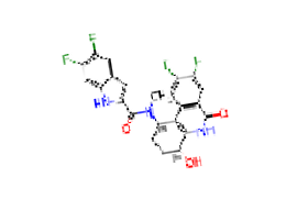 CN(C(=O)c1cc2cc(F)c(F)cc2[nH]1)[C@@H]1CC[C@@H](O)c2[nH]c(=O)c3cc(F)c(F)cc3c21